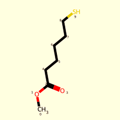 COC(=O)CCCCCS